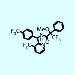 COC(C(=O)NC(c1ccc(C(F)(F)F)cc1)c1ncccc1C(F)(F)F)(c1ccccc1)C(F)(F)F